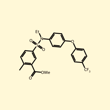 CCN(c1ccc(Oc2ccc(C(F)(F)F)cc2)cc1)S(=O)(=O)c1ccc(C)c(C(=O)OC)c1